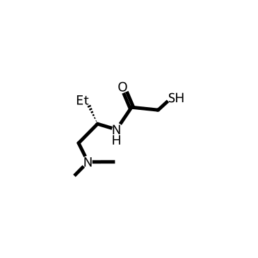 CC[C@@H](CN(C)C)NC(=O)CS